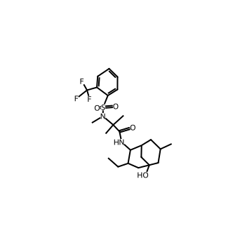 CCC1CC2(O)CC(C)CC(C2)C1NC(=O)C(C)(C)N(C)S(=O)(=O)c1ccccc1C(F)(F)F